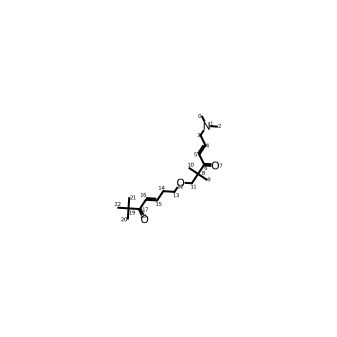 CN(C)C/C=C/C(=O)C(C)(C)COCC/C=C/C(=O)C(C)(C)C